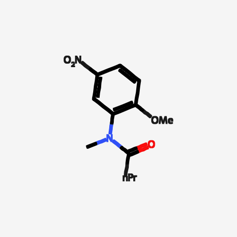 CCCC(=O)N(C)c1cc([N+](=O)[O-])ccc1OC